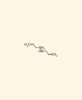 C=CCN[SiH2]CC=C